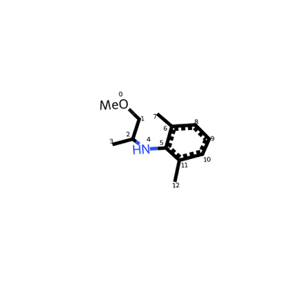 COCC(C)Nc1c(C)cccc1C